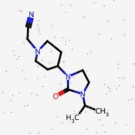 CC(C)N1CCN(C2CCN(CC#N)CC2)C1=O